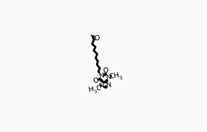 Cn1cnc2c1c(=O)n(CCCCCCCCCC1CO1)c(=O)n2C